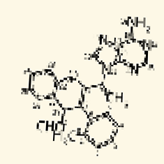 Cc1ccccc1C1=C(C(C)n2cnc3c(N)ncnc32)Oc2ccccc2C1C=O